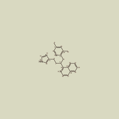 Cc1cnc(CC(CCc2c[nH]cn2)c2nccc3ccccc23)c(C)c1